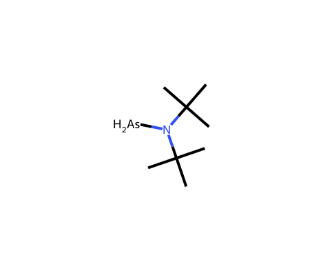 CC(C)(C)N([AsH2])C(C)(C)C